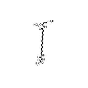 CS(=O)(=O)NC(=O)NCCCCCCCCCCCCC(=O)N[C@@H](CCC(=O)O)C(=O)O